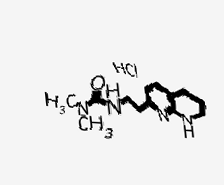 CN(C)C(=O)NCCc1ccc2c(n1)NCCC2.Cl